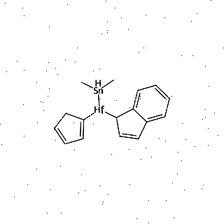 [CH3][SnH]([CH3])[Hf]([C]1=CC=CC1)[CH]1C=Cc2ccccc21